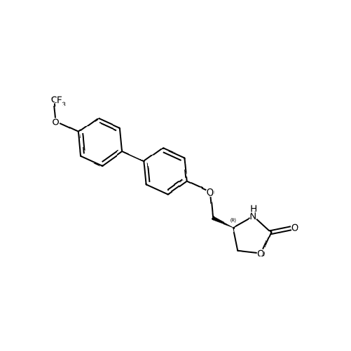 O=C1N[C@H](COc2ccc(-c3ccc(OC(F)(F)F)cc3)cc2)CO1